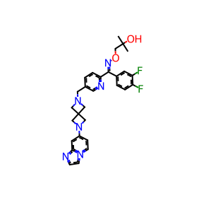 CC(C)(O)CON=C(c1ccc(F)c(F)c1)c1ccc(CN2CC3(C2)CN(c2ccn4ccnc4c2)C3)cn1